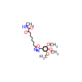 CNC(=O)C(=O)CCCCCCc1nnc(-c2cc(OC)c(OC)c(OC)c2)o1